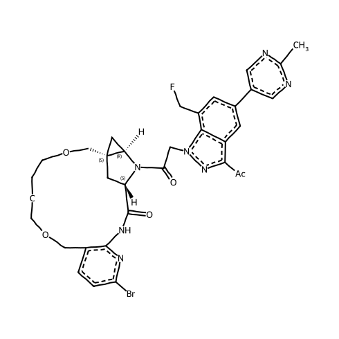 CC(=O)c1nn(CC(=O)N2[C@H]3C[C@@]4(COCCCCOCc5ccc(Br)nc5NC3=O)C[C@@H]24)c2c(CF)cc(-c3cnc(C)nc3)cc12